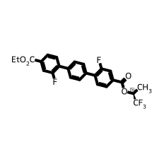 CCOC(=O)c1ccc(-c2ccc(-c3ccc(C(=O)O[C@@H](C)C(F)(F)F)cc3F)cc2)c(F)c1